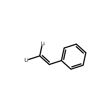 [Li][C]([Li])=Cc1ccccc1